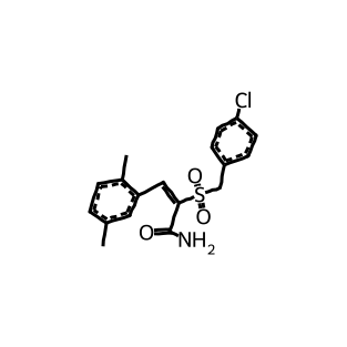 Cc1ccc(C)c(/C=C(\C(N)=O)S(=O)(=O)Cc2ccc(Cl)cc2)c1